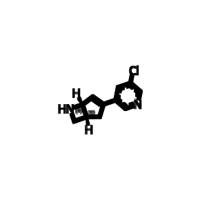 Clc1cncc(C2=C[C@H]3NC[C@H]3C2)c1